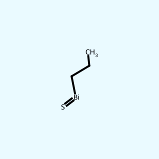 CC[CH2][Bi]=[S]